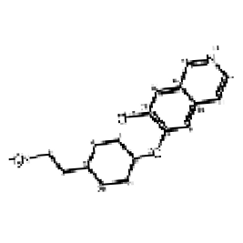 NCCC1CCC(Oc2cc3ccncc3cc2Cl)CC1